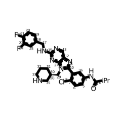 CC(C)C(=O)Nc1ccc(Cl)c(-c2nc3cnc(NCc4ccc(F)c(F)c4)nc3n2C[C@@H]2CCCNC2)c1